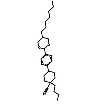 CCCCCCCC1CSC(c2ccc(C3CCC(C#N)(CCCC)CC3)cc2)SC1